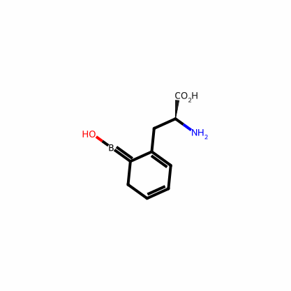 N[C@@H](CC1=CC=CC/C1=B\O)C(=O)O